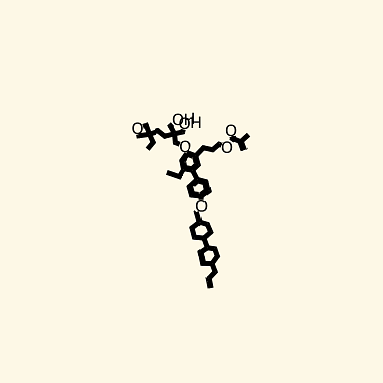 C=C(C)C(=O)OCCCc1cc(-c2ccc(OCC3CCC(C4CCC(CCC)CC4)CC3)cc2)c(CC)cc1OCC(CO)(CO)CCC1(CC)COC1